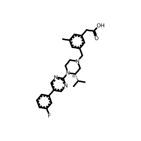 Cc1cc(CC(=O)O)cc(CN2CCN(c3ncc(-c4cccc(F)c4)cn3)[C@@H](C(C)C)C2)c1